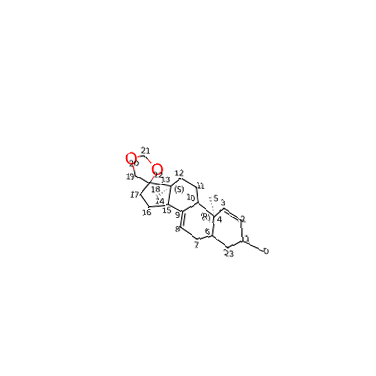 CC1C=C[C@@]2(C)C(CC=C3C2CC[C@@]2(C)C3CCC23COCO3)C1